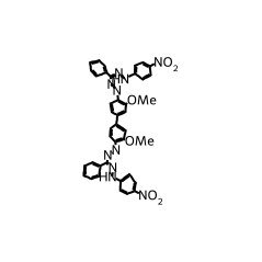 COc1cc(-c2ccc(N=NC(=NNc3ccc([N+](=O)[O-])cc3)c3ccccc3)c(OC)c2)ccc1N=NC(=NNc1ccc([N+](=O)[O-])cc1)c1ccccc1